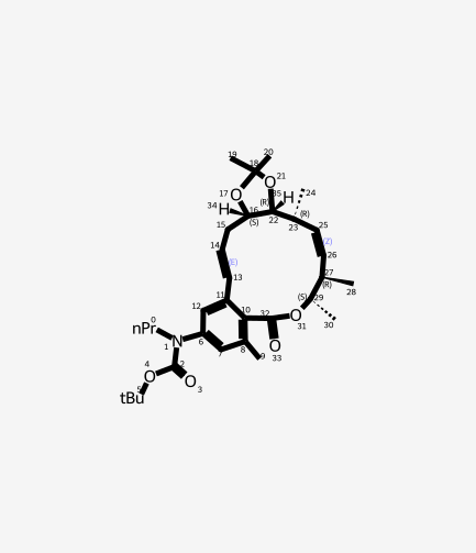 CCCN(C(=O)OC(C)(C)C)c1cc(C)c2c(c1)/C=C/C[C@@H]1OC(C)(C)O[C@@H]1[C@H](C)/C=C\[C@@H](C)[C@H](C)OC2=O